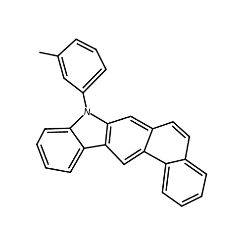 Cc1cccc(-n2c3ccccc3c3cc4c(ccc5ccccc54)cc32)c1